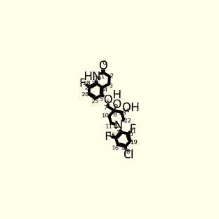 O=C1CCc2c(OC[C@]3(O)CCN(c4c(F)cc(Cl)cc4F)C[C@@H]3O)ccc(F)c2N1